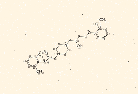 COc1ccccc1OCCC(O)CN1CCN(CC(=O)Nc2c(C)cccc2C)CC1